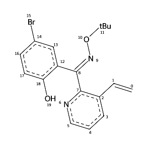 C=Cc1cccnc1C(=NOC(C)(C)C)c1cc(Br)ccc1O